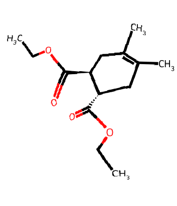 CCOC(=O)[C@H]1CC(C)=C(C)C[C@@H]1C(=O)OCC